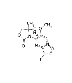 COc1cn2ncc(I)c2nc1N1C(=O)OCC1(C)C